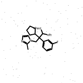 CCCCCC(CCC)C(Cn1ccnc1C)(c1cccc(F)c1)C1CCCC1